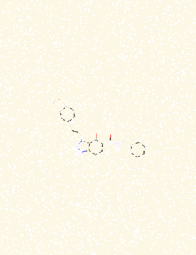 COc1c(C(=O)NCc2ccccc2)ccc2[nH]nc(C=Cc3ccc4c(c3)OCO4)c12